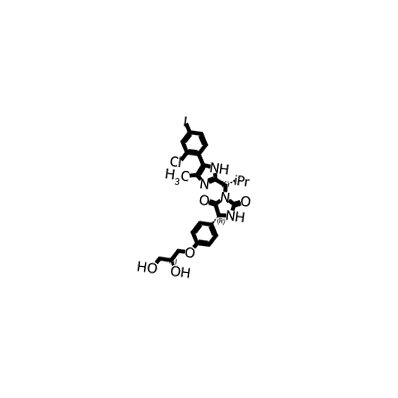 Cc1nc([C@H](C(C)C)N2C(=O)N[C@H](c3ccc(OC[C@@H](O)CO)cc3)C2=O)[nH]c1-c1ccc(I)cc1Cl